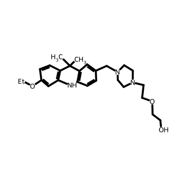 CCOc1ccc2c(c1)Nc1ccc(CN3CCN(CCOCCO)CC3)cc1C2(C)C